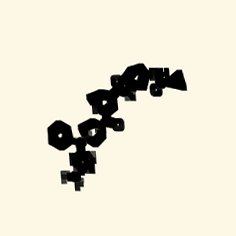 O=C(Nc1ccc2oc(-c3ccnc(C(=O)N4CCN([C@H](c5ccccc5)c5nnn(C(F)F)n5)CC4)c3)nc2c1)C1CC1